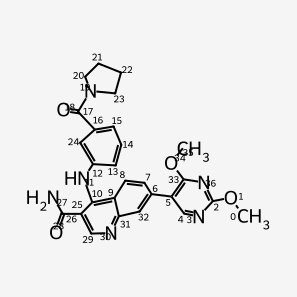 COc1ncc(-c2ccc3c(Nc4cccc(C(=O)N5CCCC5)c4)c(C(N)=O)cnc3c2)c(OC)n1